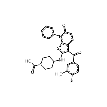 Cc1cc(C(=O)c2c(NC3CCN(C(=O)O)CC3)sc3c2ccc(=O)n3-c2ccccc2)ccc1F